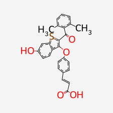 Cc1cccc(C)c1C(=O)c1sc2cc(O)ccc2c1Oc1ccc(C=CC(=O)O)cc1